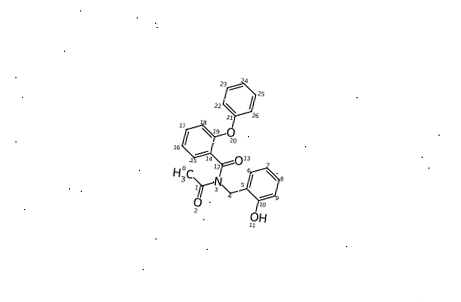 CC(=O)N(Cc1ccccc1O)C(=O)c1ccccc1Oc1ccccc1